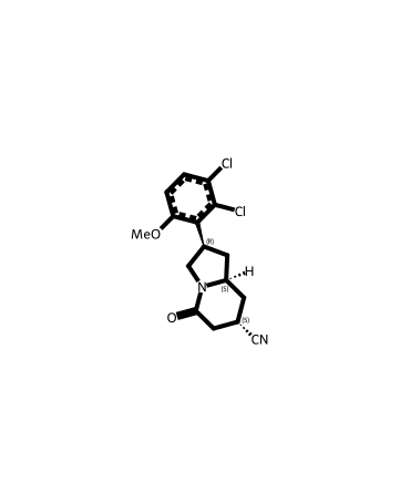 COc1ccc(Cl)c(Cl)c1[C@H]1C[C@H]2C[C@H](C#N)CC(=O)N2C1